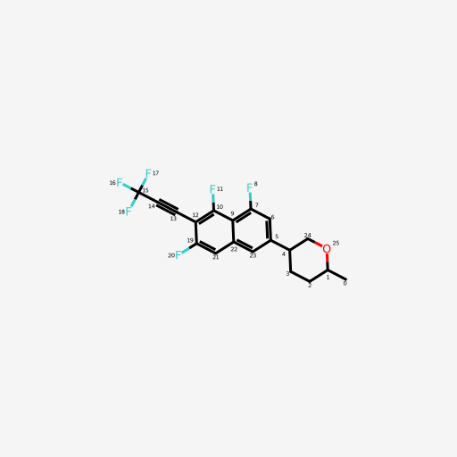 CC1CCC(c2cc(F)c3c(F)c(C#CC(F)(F)F)c(F)cc3c2)CO1